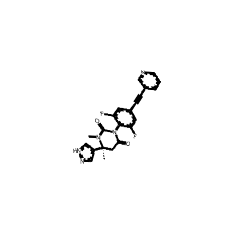 CN1C(=O)N(c2c(F)cc(C#Cc3cccnc3)cc2F)C(=O)C[C@@]1(C)c1cn[nH]c1